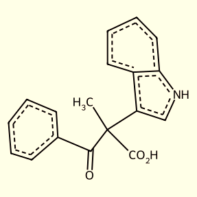 CC(C(=O)O)(C(=O)c1ccccc1)c1c[nH]c2ccccc12